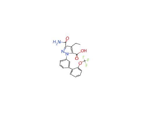 CCc1c(C(N)=O)nn(-c2cccc(-c3ccccc3OC(F)(F)F)c2)c1C(=O)O